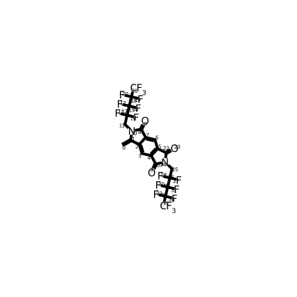 C=C1c2cc3c(cc2C(=O)N1CC(F)(F)C(F)(F)C(F)(F)C(F)(F)F)C(=O)N(CC(F)(F)C(F)(F)C(F)(F)C(F)(F)F)C3=O